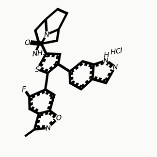 Cc1noc2cc(-c3sc(C(=O)N4C5CCC4CC(N)C5)cc3-c3ccc4cn[nH]c4c3)c(F)cc12.Cl